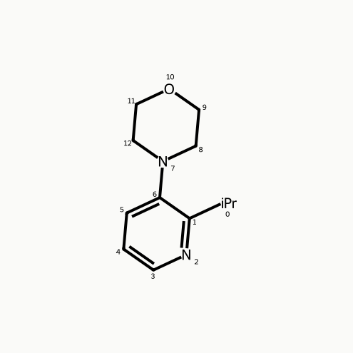 CC(C)c1ncccc1N1CCOCC1